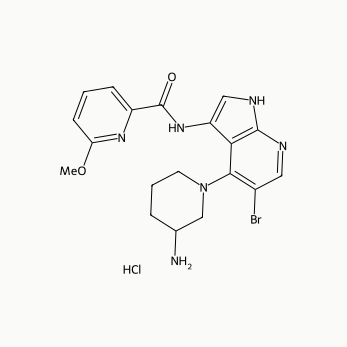 COc1cccc(C(=O)Nc2c[nH]c3ncc(Br)c(N4CCCC(N)C4)c23)n1.Cl